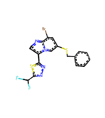 FC(F)c1nnc(-c2cnc3c(Br)cc(SCc4ccccc4)cn23)s1